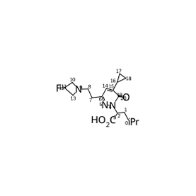 CC(C)CC(C(=O)O)n1nc(CCN2CC(F)C2)cc(C2CC2)c1=O